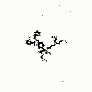 CCCN(CCC)CCCCN(C)C(C(=O)OCC)c1ccc(CN(Cc2ncc[nH]2)C(C)c2ncc[nH]2)cc1